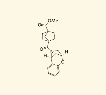 COC(=O)C12CCC(C(=O)N3C[C@@H]4C[C@H]3c3ccccc3O4)(CC1)C2